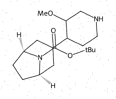 COC1CNCCC1C1C[C@H]2CC[C@@H](C1)N2C(=O)OC(C)(C)C